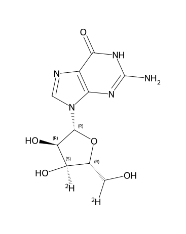 [2H]C(O)[C@H]1O[C@@H](n2cnc3c(=O)[nH]c(N)nc32)[C@H](O)[C@]1([2H])O